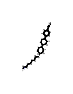 N#Cc1ccc(C2CCC([C@H]3CC[C@H](CCCCCC/C=C/F)CC3)CC2)cc1